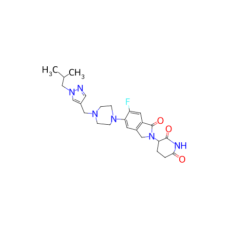 CC(C)Cn1cc(CN2CCN(c3cc4c(cc3F)C(=O)N(C3CCC(=O)NC3=O)C4)CC2)cn1